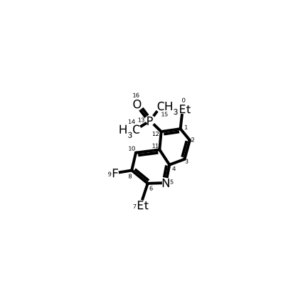 CCc1ccc2nc(CC)c(F)cc2c1P(C)(C)=O